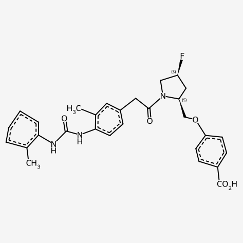 Cc1ccccc1NC(=O)Nc1ccc(CC(=O)N2C[C@@H](F)C[C@H]2COc2ccc(C(=O)O)cc2)cc1C